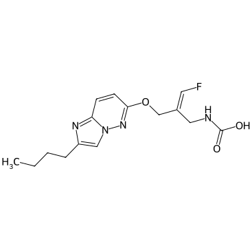 CCCCc1cn2nc(OCC(=CF)CNC(=O)O)ccc2n1